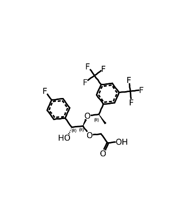 C[C@@H](O[C@@H](OCC(=O)O)[C@H](O)c1ccc(F)cc1)c1cc(C(F)(F)F)cc(C(F)(F)F)c1